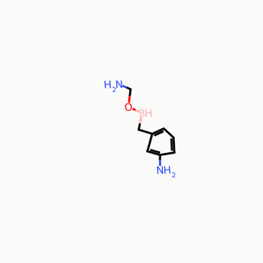 NCOBCc1cccc(N)c1